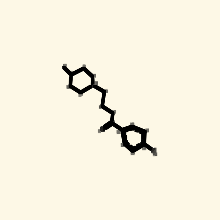 CC1CCN(CCCC(=O)c2ccc(Cl)cc2)CC1